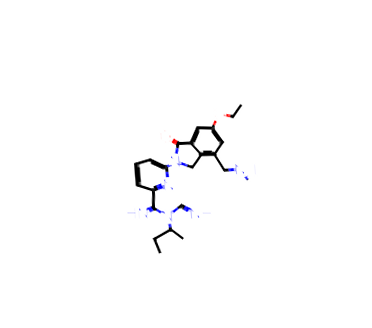 CCOc1cc(CNC)c2c(c1)C(=O)N(c1cccc(C(=N)N(C=N)C(C)CC)n1)C2